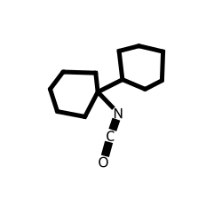 O=C=NC1(C2CCCCC2)CCCCC1